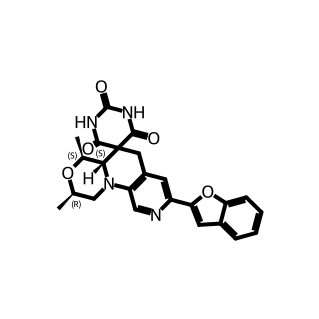 C[C@@H]1CN2c3cnc(-c4cc5ccccc5o4)cc3CC3(C(=O)NC(=O)NC3=O)[C@H]2[C@H](C)O1